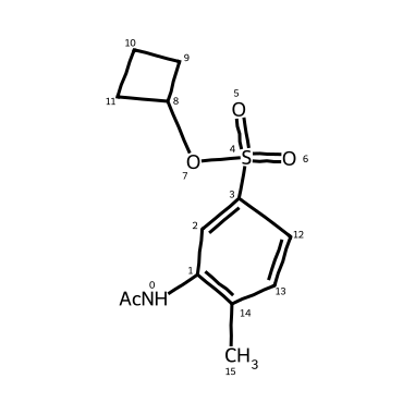 CC(=O)Nc1cc(S(=O)(=O)OC2CCC2)ccc1C